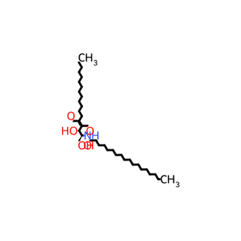 CCCCCCCCCCCCCCCCCC(=O)N[C@@H](CO)[C@H](O)/C(C=O)=C(\C=O)CCCCCCCCCCCCC